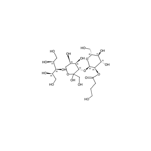 O=C(CCCO)O[C@H]1[C@@H](O[C@H]2[C@H](O)[C@H](O)COC2(O)CO)O[C@H](CO)[C@@H](O)[C@@H]1O.OC[C@@H](O)[C@H](O)[C@@H](O)CO